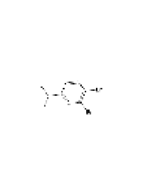 CC(C)c1ccc(Br)c(Br)c1